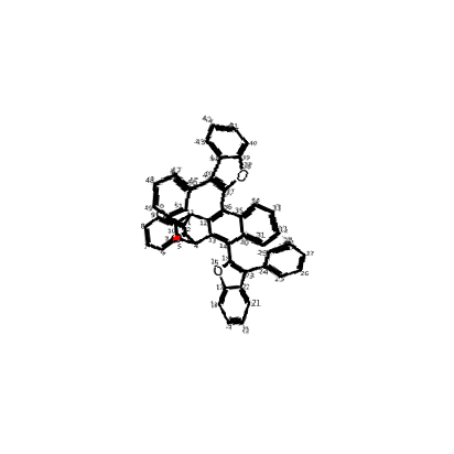 O=C1C(=O)C2c3ccccc3C1c1c2c(-c2oc3ccccc3c2-c2ccccc2)c2ccccc2c1-c1oc2ccccc2c1-c1ccccc1